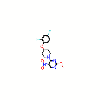 COc1ncc([N+](=O)[O-])c(N2CCC(Oc3ccc(F)cc3F)CC2)n1